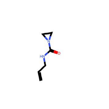 C=CCNC(=O)N1CC1